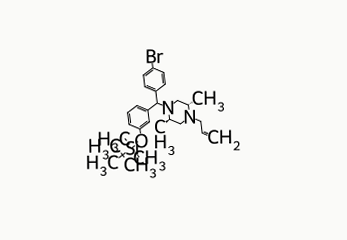 C=CCN1C[C@@H](C)N(C(c2ccc(Br)cc2)c2cccc(O[Si](C)(C)C(C)(C)C)c2)C[C@@H]1C